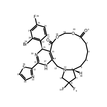 O=C1CCCC[C@@H]2CC(F)(F)CN2CC2=C(C(=O)OCO1)[C@H](c1ccc(F)cc1Br)N=C(c1nccs1)N2